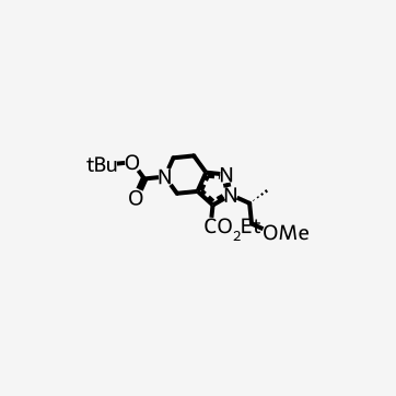 CCOC(=O)c1c2c(nn1[C@H](C)COC)CCN(C(=O)OC(C)(C)C)C2